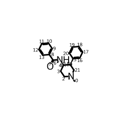 CN1CC[C@@H](NC(=O)c2ccccc2)[C@@H](c2ccccc2)C1